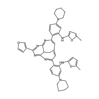 Cc1ccc(Nc2cc(N3CCCCC3)ccc2C2=CC3=CC(c4ccc(N5CCCCC5)cc4Nc4ccc(C)o4)=NC4=NC(c5ccoc5)=NC(=N2)C4C3)o1